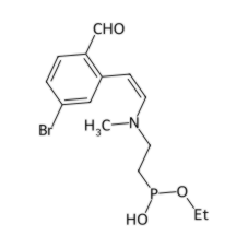 CCOP(O)CCN(C)/C=C\c1cc(Br)ccc1C=O